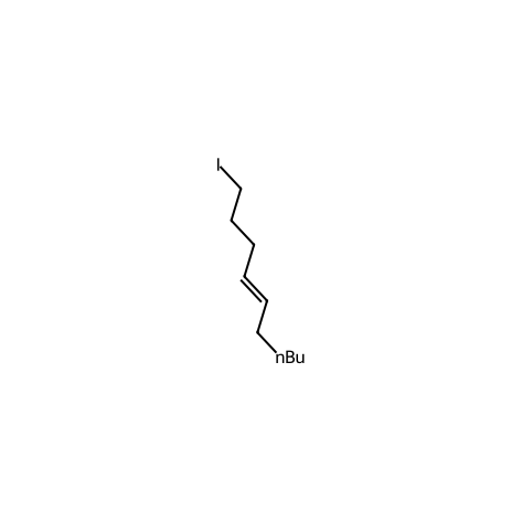 CCCCCC=CCCCI